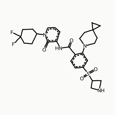 O=C(Nc1cccn(C2CCC(F)(F)CC2)c1=O)c1ccc(S(=O)(=O)C2CNC2)cc1N1CCC2(CC1)CC2